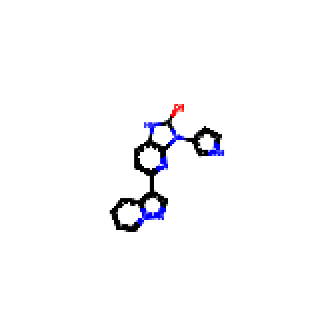 O[C@@H]1Nc2ccc(-c3cnn4ccccc34)nc2N1c1cc[nH]c1